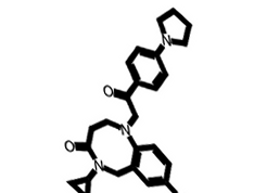 O=C(CN1CCC(=O)N(C2CC2)Cc2cc(F)ccc21)c1ccc(N2CCCC2)cc1